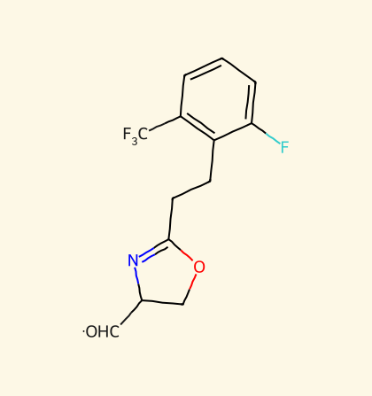 O=[C]C1COC(CCc2c(F)cccc2C(F)(F)F)=N1